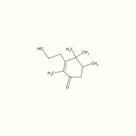 CC1=C(CCO)C(C)(C)C(C)CC1=O